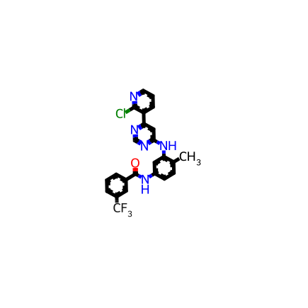 Cc1ccc(NC(=O)c2cccc(C(F)(F)F)c2)cc1Nc1cc(-c2cccnc2Cl)ncn1